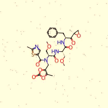 COC[C@H](NC(=O)[C@H](COC)N(Cc1oc(=O)oc1C)C(=O)c1cnc(C)s1)C(=O)N[C@@H](Cc1ccccc1)C(=O)[C@@]1(C)CO1